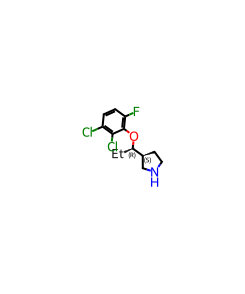 CC[C@@H](Oc1c(F)ccc(Cl)c1Cl)[C@H]1CCNC1